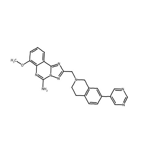 COc1cccc2c1nc(N)n1nc(CN3CCc4ccc(-c5cncnc5)cc4C3)nc21